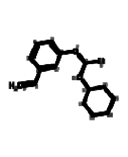 C=Cc1cccc(OC(CC)OC2CCCCC2)c1